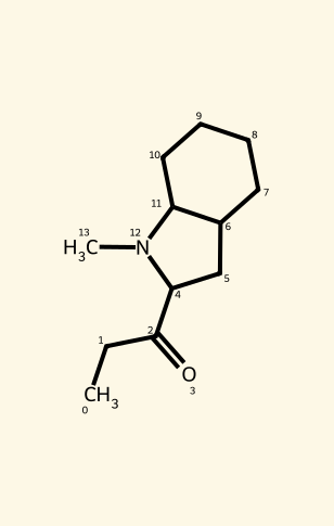 CCC(=O)C1CC2CCCCC2N1C